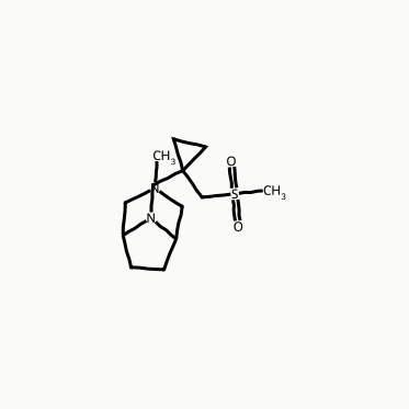 CN1CC2CCC(C1)N2CC1(CS(C)(=O)=O)CC1